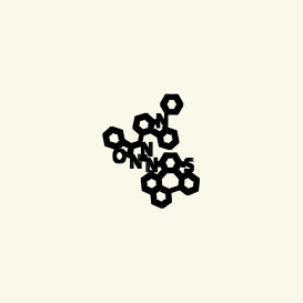 c1ccc(-n2c3ccccc3c3c(-c4nc(-n5c6ccc7cccc8c7c6c6c7c(ccc65)sc5cccc-8c57)nc5oc6ccccc6c45)cccc32)cc1